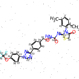 Cc1ccc(C)c(N2C(=O)CS/C2=N\C(=O)NOCc2ccc(-c3ncn(-c4ccc(OC(F)(F)F)cc4)n3)cc2)c1